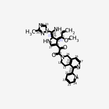 C=C/C(OC)=c1/c(C(=O)C(=O)N2CCc3c(ccnc3-c3ccccn3)C2)c[nH]/c1=C(/N)n1cnc(C)n1